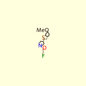 COc1ccc2c(c1)SC(c1ccnc(OCCCF)c1)C2